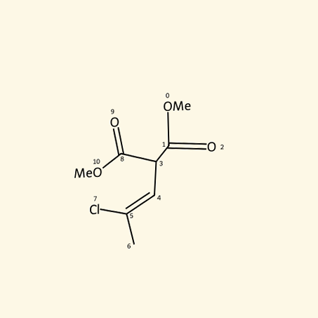 COC(=O)C(C=C(C)Cl)C(=O)OC